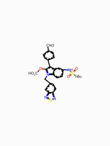 CCCCS(=O)(=O)Nc1ccc2c(c1)c(-c1ccc(C=O)cc1)c(OC(=O)O)n2Cc1ccc2nsnc2c1